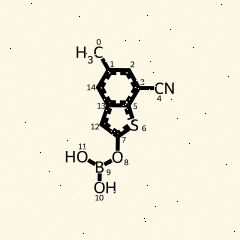 Cc1cc(C#N)c2sc(OB(O)O)cc2c1